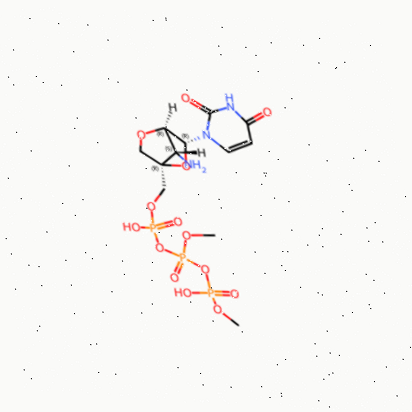 COP(=O)(O)OP(=O)(OC)OP(=O)(O)OC[C@@]12CO[C@@H]([C@H](n3ccc(=O)[nH]c3=O)O1)[C@@H]2N